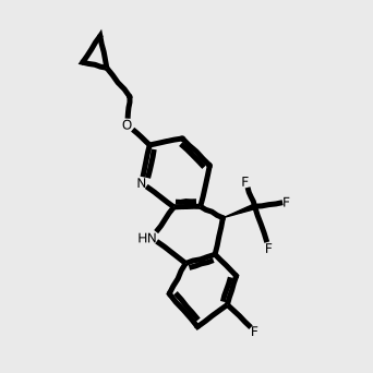 Fc1ccc2c(c1)[C@H](C(F)(F)F)c1ccc(OCC3CC3)nc1N2